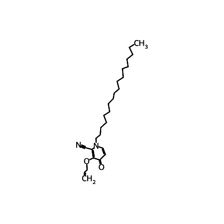 C=CCOc1c(C#N)n(CCCCCCCCCCCCCCCCCC)ccc1=O